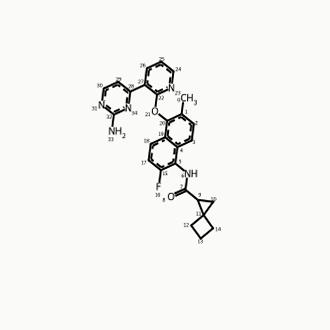 Cc1ccc2c(NC(=O)C3CC34CCC4)c(F)ccc2c1Oc1ncccc1-c1ccnc(N)n1